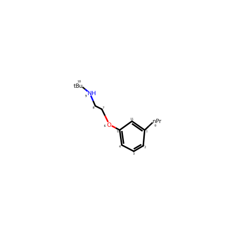 CCCc1cccc(OCCNC(C)(C)C)c1